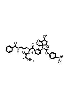 COC1CC(=O)C(C(=O)[C@@H]2CCCN2C(=O)[C@H](CCCNC(=O)c2ccccc2)NC(=O)[C@H](C)N)(N(C(=O)Oc2ccc([N+](=O)[O-])cc2)C(C)C)C1=O